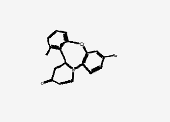 Cc1cccc2c1C1CC(=O)C=CN1c1ccc(Br)cc1O2